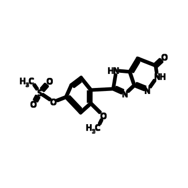 COc1cc(OS(C)(=O)=O)ccc1-c1nc2n[nH]c(=O)cc2[nH]1